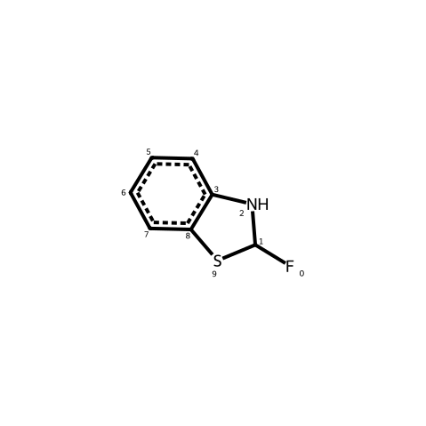 FC1Nc2ccccc2S1